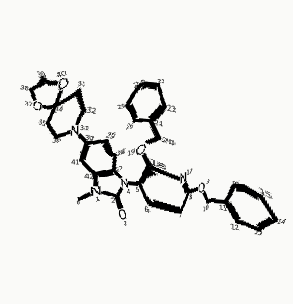 Cn1c(=O)n(-c2ccc(OCc3ccccc3)nc2OCc2ccccc2)c2ccc(N3CCC4(CC3)OCCO4)cc21